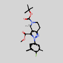 COC(=O)c1c2c(nn1-c1cc(C)c(F)c(C)c1)CCN(C(=O)OC(C)(C)C)[C@H]2C